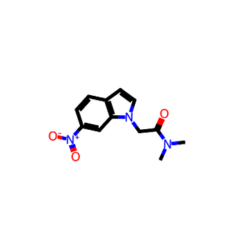 CN(C)C(=O)Cn1ccc2ccc([N+](=O)[O-])cc21